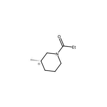 CCC(=O)N1CCC[C@H](C)C1